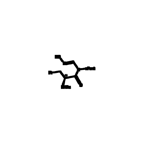 CCCCCN(C=NO)C(=O)[C@H](CC(C)C)NC(C)=O